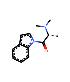 C[C@H](C(=O)n1ccc2ccccc21)N(C)C